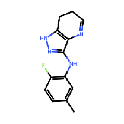 Cc1ccc(F)c(Nc2n[nH]c3c2N=CCC3)c1